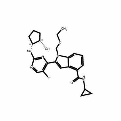 CCOCn1c(-c2nc(N[C@@H]3CCC[C@@H]3O)ncc2Cl)cc2c(C(=O)NC3CC3)cccc21